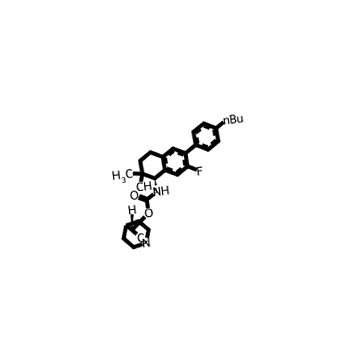 CCCCc1ccc(-c2cc3c(cc2F)[C@H](NC(=O)O[C@@H]2CN4CCC2CC4)C(C)(C)CC3)cc1